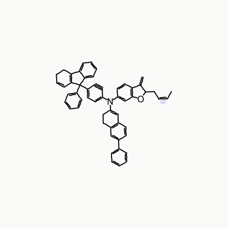 C=C1c2ccc(N(C3=Cc4ccc(-c5ccccc5)cc4CC3)c3c#cc(C4(c5ccccc5)C5=C(CCC=C5)c5ccccc54)cc3)cc2OC1C/C=C\C